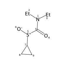 CCN(CC)C(=O)[S+]([O-])C1CC1